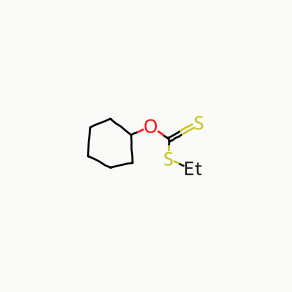 CCSC(=S)OC1CCCCC1